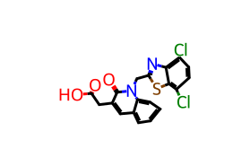 O=C(O)Cc1cc2ccccc2n(Cc2nc3c(Cl)ccc(Cl)c3s2)c1=O